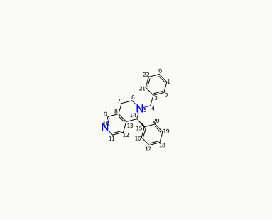 c1ccc(CN2CCc3cnccc3[C@@H]2c2ccccc2)cc1